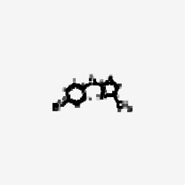 Cc1csc(Oc2ccc(Br)cc2)n1